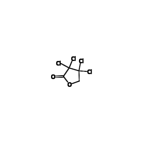 O=C1OCC(Cl)(Cl)C1(Cl)Cl